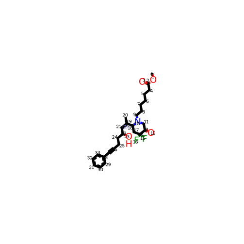 COC(=O)CCCCCCN1CC(=O)C(F)(F)CC1/C(C)=C\C(O)CCC#Cc1ccccc1